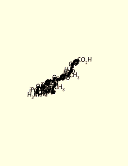 CC[C@H](C)[C@@H]([C@@H](CC(=O)N1CCC[C@H]1[C@H](OC)[C@@H](C)C(=O)N[C@@H](Cc1ccccc1)C(=O)NOCc1ccc(NC(=O)[C@@H](C)NC(=O)CCC(=O)N2CCC(C(=O)O)CC2)cc1)OC)N(C)C(=O)[C@@H](NC(=O)[C@H](C(C)C)N(C)C)C(C)C